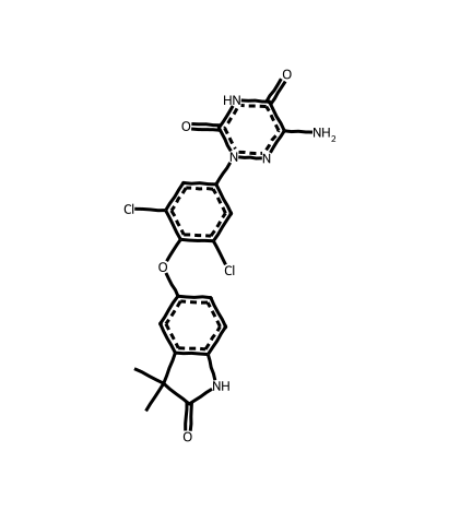 CC1(C)C(=O)Nc2ccc(Oc3c(Cl)cc(-n4nc(N)c(=O)[nH]c4=O)cc3Cl)cc21